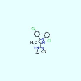 Cc1c(C(=NC#N)NC2CC2)nn(-c2ccccc2Cl)c1-c1ccc(Cl)cc1